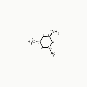 CC(=O)N1C[C@H](C)C[C@@H](N)C1